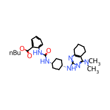 CCCCOC(=O)c1ccccc1NC(=O)N[C@H]1CC[C@@H](Nc2nc3c(c(N(C)C)n2)CCCC3)CC1